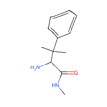 CNC(=O)C(N)C(C)(C)c1ccccc1